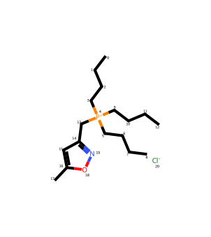 CCCC[P+](CCCC)(CCCC)Cc1cc(C)on1.[Cl-]